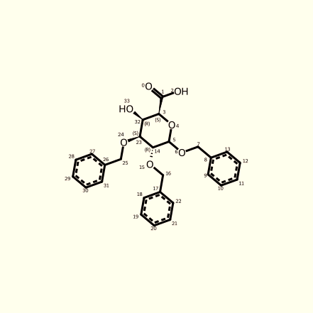 O=C(O)[C@H]1OC(OCc2ccccc2)[C@H](OCc2ccccc2)[C@@H](OCc2ccccc2)[C@H]1O